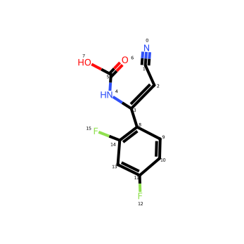 N#C/C=C(\NC(=O)O)c1ccc(F)cc1F